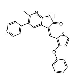 Cc1nc2c(cc1-c1ccncc1)C(=Cc1sccc1Oc1ccccc1)C(=O)N2